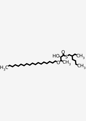 CCCCCCCCCCCCCCCCCCOC(C)[C@H](O)C(=O)SCC(CC)CCCC